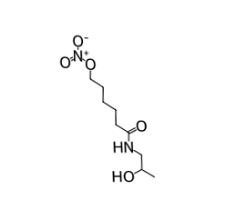 CC(O)CNC(=O)CCCCCO[N+](=O)[O-]